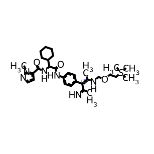 CC(=N)/C(=C(/C)NCOCCS(C)(C)C)c1ccc(NC(=O)C(NC(=O)c2ccnn2C)C2CCCCC2)cc1